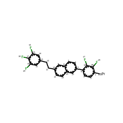 CCCc1ccc(-c2ccc3cc(CCc4cc(F)c(F)c(F)c4)ccc3c2)c(F)c1F